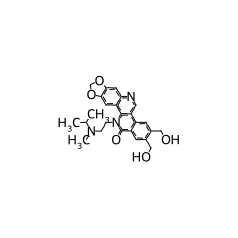 CC(C)N(C)CCn1c(=O)c2cc(CO)c(CO)cc2c2cnc3cc4c(cc3c21)OCO4